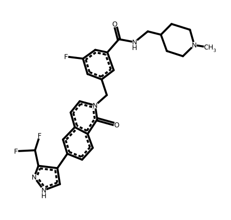 CN1CCC(CNC(=O)c2cc(F)cc(Cn3ccc4cc(-c5c[nH]nc5C(F)F)ccc4c3=O)c2)CC1